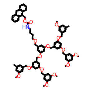 COc1cc(C)cc(COc2cc(COc3cc(COCCCCNC(=O)OCc4c5ccccc5cc5ccccc45)cc(OCc4cc(OCc5cc(C)cc(OC)c5)cc(OCc5cc(OC)cc(OC)c5)c4)c3)cc(OCc3cc(OC)cc(OC)c3)c2)c1